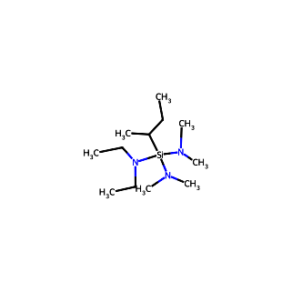 CCC(C)[Si](N(C)C)(N(C)C)N(CC)CC